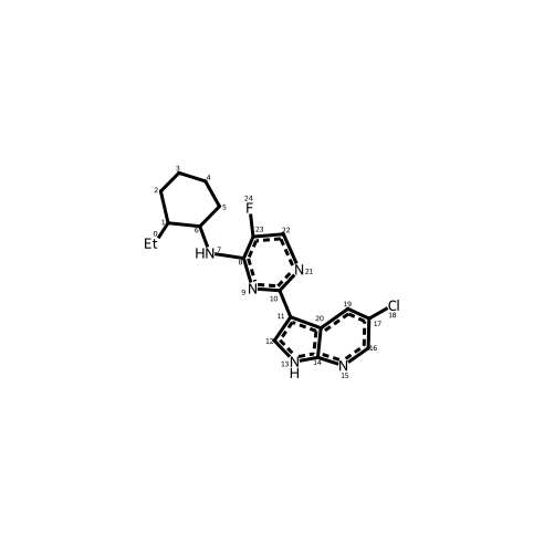 CCC1CCCCC1Nc1nc(-c2c[nH]c3ncc(Cl)cc23)ncc1F